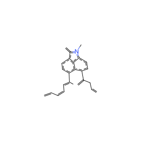 C=C/C=C\C=C(/C)c1ccc2c(=C)n(C)c3ccc(C(=C)CC=C)c1c23